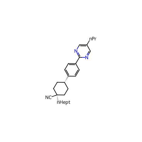 CCCCCCC[C@]1(C#N)CC[C@H](c2ccc(-c3ncc(CCC)cn3)cc2)CC1